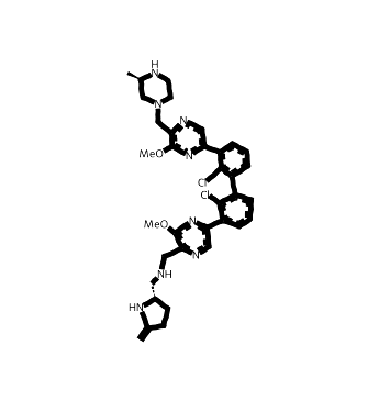 C=C1CC[C@@H](CNCc2ncc(-c3cccc(-c4cccc(-c5cnc(CN6CCN[C@H](C)C6)c(OC)n5)c4Cl)c3Cl)nc2OC)N1